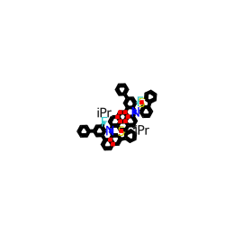 CC(C)c1cc(N(c2c(F)cc(-c3ccccc3)cc2-c2ccccc2)c2cccc3c2sc2ccccc23)c2ccc3c(C(C)C)cc(N(c4cccc5c4sc4ccccc45)C4C(F)=CC(c5ccccc5)=CC4c4ccccc4)c4ccc1c2c34